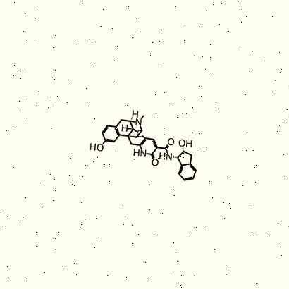 CN1CC[C@]23Cc4[nH]c(=O)c(C(=O)N[C@H]5c6ccccc6C[C@H]5O)cc4C[C@H]2[C@H]1Cc1ccc(O)cc13